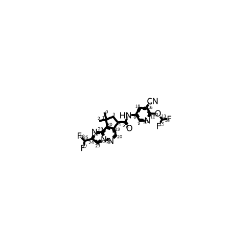 CC1(C)CC(C(=O)Nc2cnc(OC(F)F)c(C#N)c2)c2cnn3cc(C(F)F)nc3c21